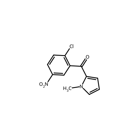 Cn1cccc1C(=O)c1cc([N+](=O)[O-])ccc1Cl